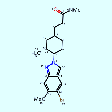 CNC(=O)CCC1CCC(n2cc3cc(Br)c(OC)cc3n2)[C@H](C)C1